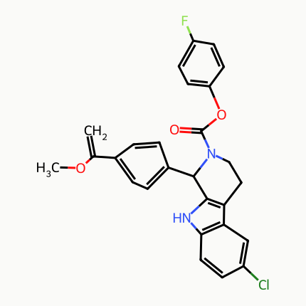 C=C(OC)c1ccc(C2c3[nH]c4ccc(Cl)cc4c3CCN2C(=O)Oc2ccc(F)cc2)cc1